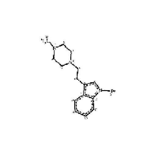 CC(C)n1cc(CCN2CCN(C)CC2)c2ccccc21